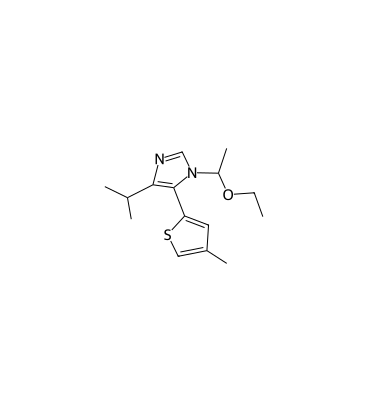 CCOC(C)n1cnc(C(C)C)c1-c1cc(C)cs1